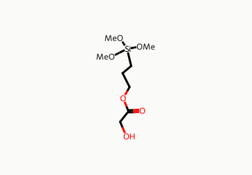 CO[Si](CCCOC(=O)CO)(OC)OC